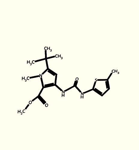 COC(=O)c1c(NC(=O)Nc2ccc(C)s2)cc(C(C)(C)C)n1C